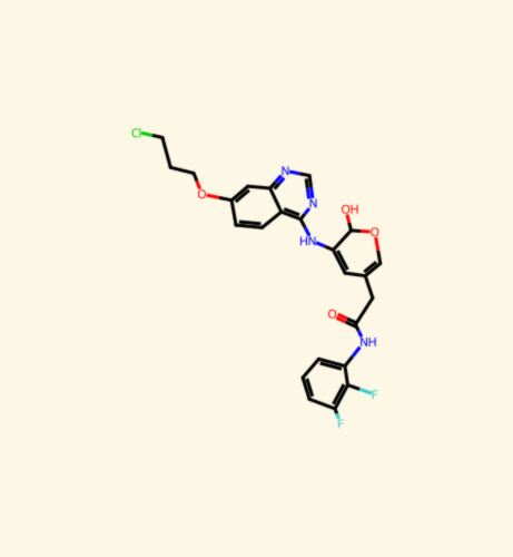 O=C(CC1=COC(O)C(Nc2ncnc3cc(OCCCCl)ccc23)=C1)Nc1cccc(F)c1F